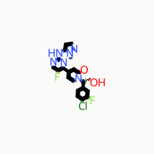 Cn1nccc1Nc1ncc(F)c(-c2ccn([C@H](CO)c3ccc(Cl)c(F)c3)c(=O)c2)n1